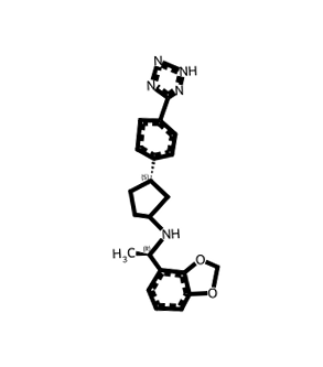 C[C@@H](NC1CC[C@H](c2ccc(-c3nn[nH]n3)cc2)C1)c1cccc2c1OCO2